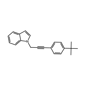 CC(C)(C)c1ccc(C#CCn2ccc3ccccc32)cc1